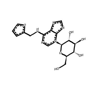 OC[C@H]1O[C@@H](n2cnc(NCc3ccco3)c3ncnc2-3)[C@H](O)[C@@H](O)[C@@H]1O